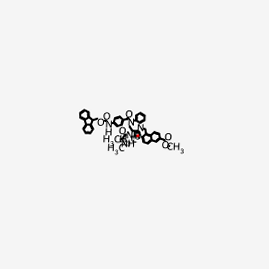 CN[C@@H](C)C(=O)NC1CN(C(=O)c2ccc(NC(=O)OCC3c4ccccc4-c4ccccc43)cc2)c2ccccc2N(Cc2c(OC)ccc3cc(C(=O)OC)ccc23)C1=O